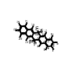 Cc1c(C)c(C)c2c(C)c3c(c(C)c2c1C)C(F)(F)c1c(c(C)c2c(C)c(C)c(C)c(C)c2c1C)C3(F)F